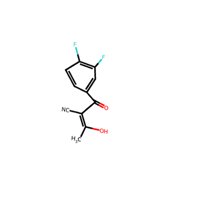 C/C(O)=C(\C#N)C(=O)c1ccc(F)c(F)c1